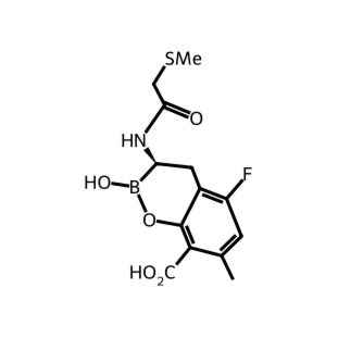 CSCC(=O)N[C@H]1Cc2c(F)cc(C)c(C(=O)O)c2OB1O